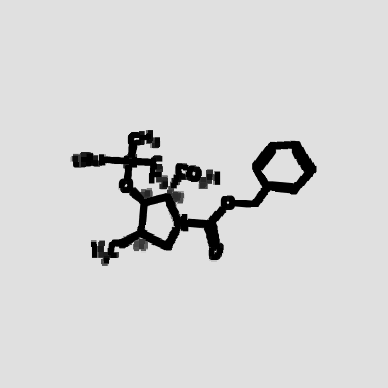 C[C@@H]1CN(C(=O)OCc2ccccc2)[C@@H](C(=O)O)[C@@H]1O[Si](C)(C)C(C)(C)C